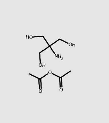 CC(=O)OC(C)=O.NC(CO)(CO)CO